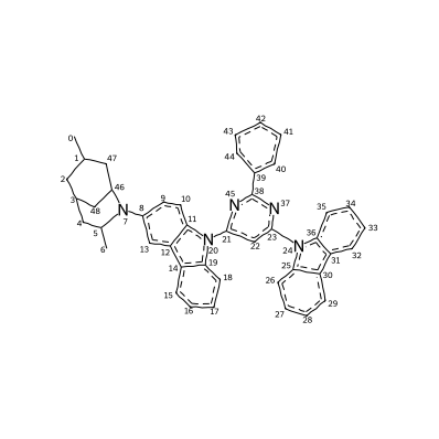 CC1CC2CC(C)N(c3ccc4c(c3)c3ccccc3n4-c3cc(-n4c5ccccc5c5ccccc54)nc(-c4ccccc4)n3)C(C1)C2